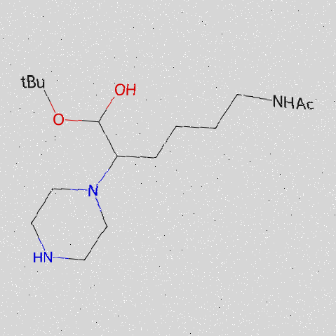 CC(=O)NCCCCC(C(O)OC(C)(C)C)N1CCNCC1